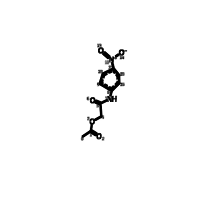 CC(=O)OCC(=O)Nc1ccc([N+](=O)[O-])cc1